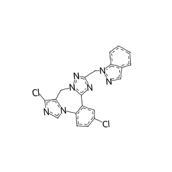 Clc1ccc2c(c1)-c1nc(Cn3ncc4ccccc43)nn1Cc1c(Cl)ncn1-2